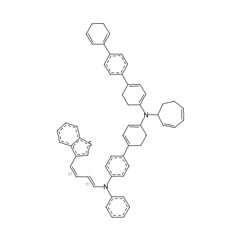 C1=CCCC(N(C2=CC=C(c3ccc(C4=CCCC=C4)cc3)CC2)C2=CC=C(c3ccc(N(/C=C/C=C\c4csc5ccccc45)c4ccccc4)cc3)CC2)C=C1